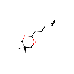 C=CCCCC1OCC(C)(C)CO1